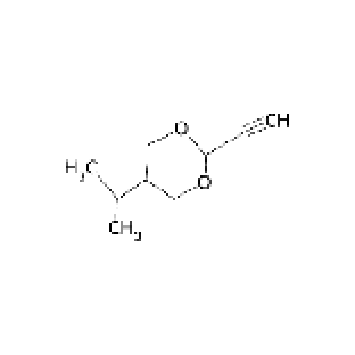 C#CC1OCC(C(C)C)CO1